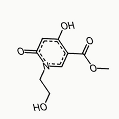 COC(=O)c1cn(CCO)c(=O)cc1O